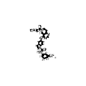 CC(C)(C)OC(=O)N1CCc2ncnc(Oc3ccc4c(ccn4C(=O)Nc4cccc(C(F)(F)F)c4)c3)c2C1